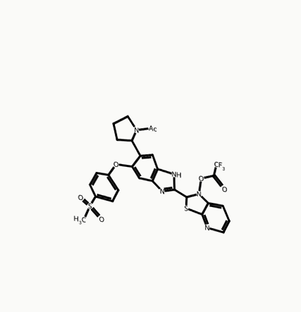 CC(=O)N1CCCC1c1cc2[nH]c(C3Sc4ncccc4N3OC(=O)C(F)(F)F)nc2cc1Oc1ccc(S(C)(=O)=O)cc1